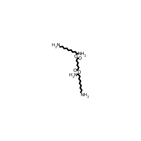 NCCCCCCCCC(N)OC(=O)CCCCC(=O)OC(N)CCCCCCCCN